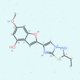 CCC1Nn2cc(-c3cc4c(O)cc(OC)cc4o3)nc2S1